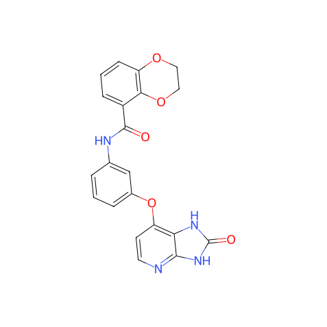 O=C(Nc1cccc(Oc2ccnc3[nH]c(=O)[nH]c23)c1)c1cccc2c1OCCO2